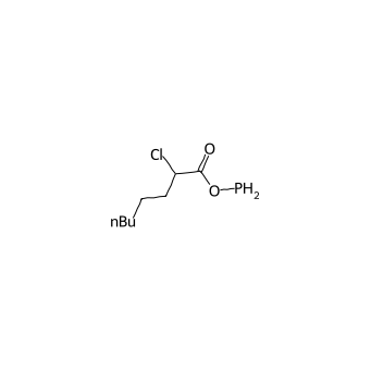 CCCCCCC(Cl)C(=O)OP